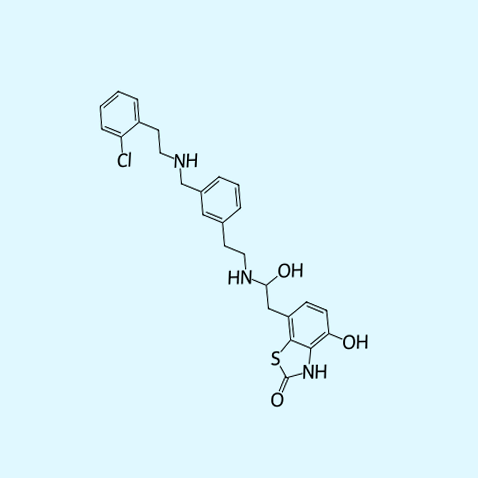 O=c1[nH]c2c(O)ccc(CC(O)NCCc3cccc(CNCCc4ccccc4Cl)c3)c2s1